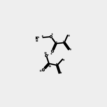 C=C(C)C(=O)OC.C=C(C)C(=O)[O-].[K+]